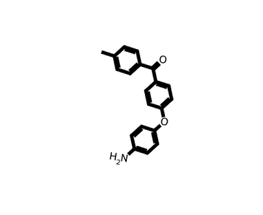 Cc1ccc(C(=O)c2ccc(Oc3ccc(N)cc3)cc2)cc1